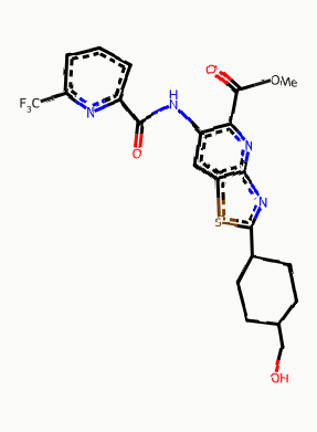 COC(=O)c1nc2nc(C3CCC(CO)CC3)sc2cc1NC(=O)c1cccc(C(F)(F)F)n1